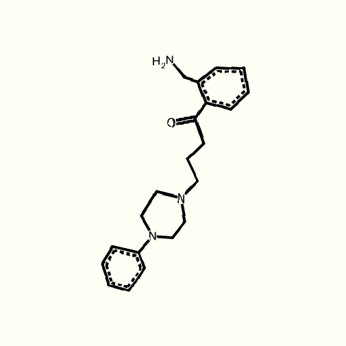 NCc1ccccc1C(=O)CCCN1CCN(c2ccccc2)CC1